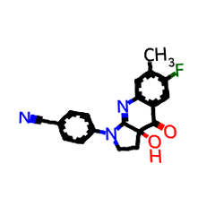 Cc1cc2c(cc1F)C(=O)C1(O)CCN(c3ccc(C#N)cc3)C1=N2